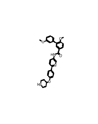 COc1cccc(-c2cc(C(=O)Nc3ccc(-c4ccc(OC5CCNCC5)cc4)nc3)ccc2OC)c1